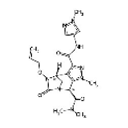 C=CCON1C(=O)N2C[C@H]1c1c(C(=O)Nc3cnn(C)c3)nn(C)c1[C@H]2C(=O)N(C)C